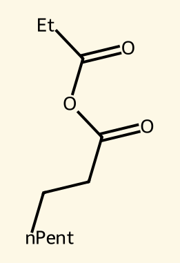 CCCCCCCC(=O)OC(=O)CC